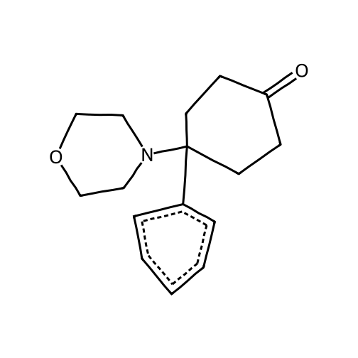 O=C1CCC(c2ccccc2)(N2CCOCC2)CC1